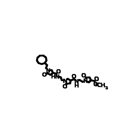 COC(=O)C1CC(=O)N(CCNC(=O)C2CC(=O)N(CCNC(=O)C3CC(=O)N(CCC4CCCCCCCC4)C3)C2)C1